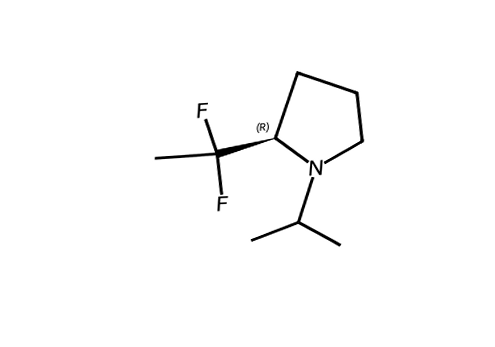 CC(C)N1CCC[C@@H]1C(C)(F)F